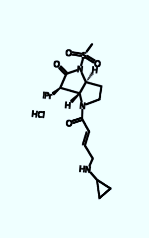 CC(C)[C@H]1C(=O)N(S(C)(=O)=O)[C@H]2CCN(C(=O)/C=C/CNC3CC3)[C@H]12.Cl